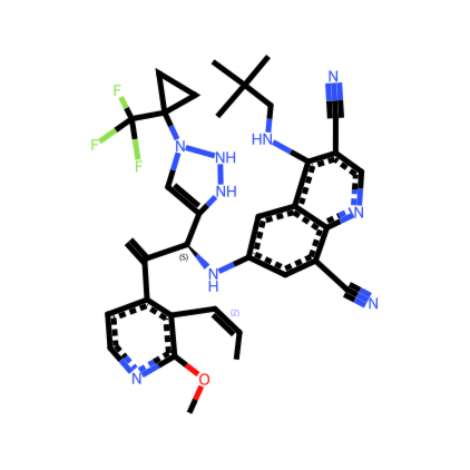 C=C(c1ccnc(OC)c1/C=C\C)[C@H](Nc1cc(C#N)c2ncc(C#N)c(NCC(C)(C)C)c2c1)C1=CN(C2(C(F)(F)F)CC2)NN1